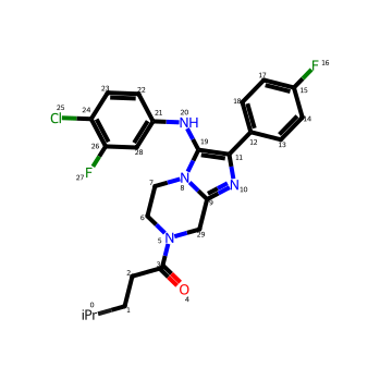 CC(C)CCC(=O)N1CCn2c(nc(-c3ccc(F)cc3)c2Nc2ccc(Cl)c(F)c2)C1